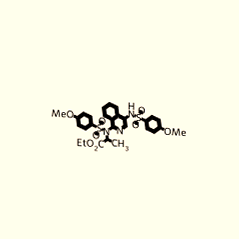 CCOC(=O)C(C)N(c1ncc(NS(=O)(=O)c2ccc(OC)cc2)c2ccccc12)S(=O)(=O)c1ccc(OC)cc1